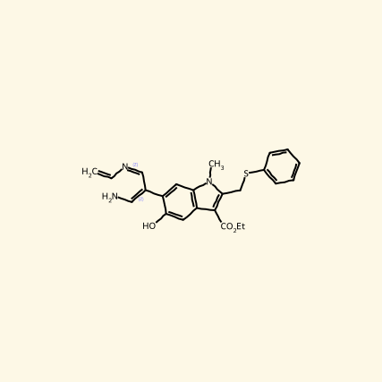 C=C/N=C\C(=C/N)c1cc2c(cc1O)c(C(=O)OCC)c(CSc1ccccc1)n2C